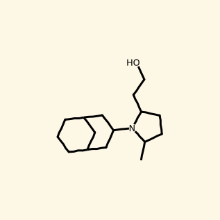 CC1CCC(CCO)N1C1CC2CCCC(C2)C1